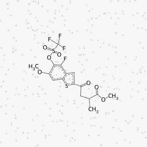 COC(=O)C(C)CC(=O)c1cc2c(F)c(OS(=O)(=O)C(F)(F)F)c(OC)cc2s1